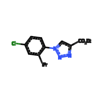 CCOC(=O)c1cn(-c2ccc(Cl)cc2C(C)C)nn1